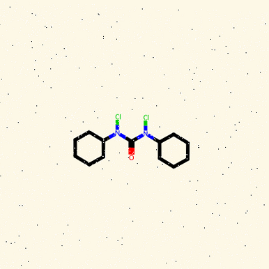 O=C(N(Cl)C1CCCCC1)N(Cl)C1CCCCC1